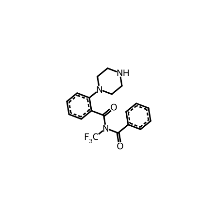 O=C(c1ccccc1)N(C(=O)c1ccccc1N1CCNCC1)C(F)(F)F